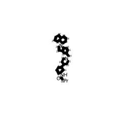 CC(C)C(=O)Nc1cccc(C2CCN(Cc3ccc4c(ccn4-c4cccc5ccccc45)c3)CC2)c1